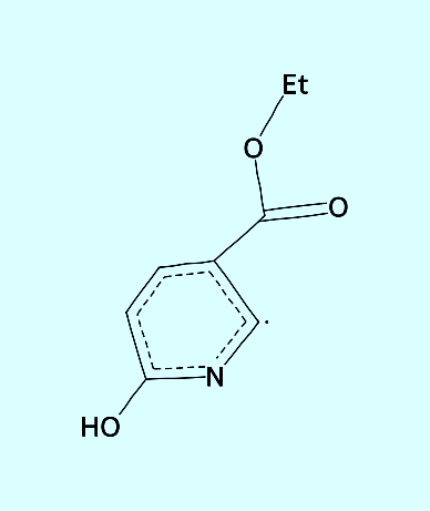 CCOC(=O)c1[c]nc(O)cc1